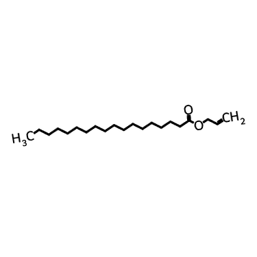 C=CCOC(=O)CCCCCCCCCCCCCCCCC